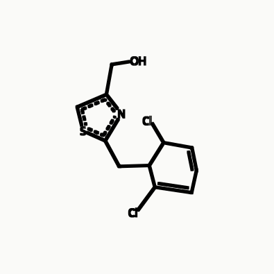 OCc1csc(CC2C(Cl)=CC=CC2Cl)n1